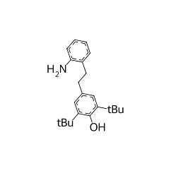 CC(C)(C)c1cc(CCc2ccccc2N)cc(C(C)(C)C)c1O